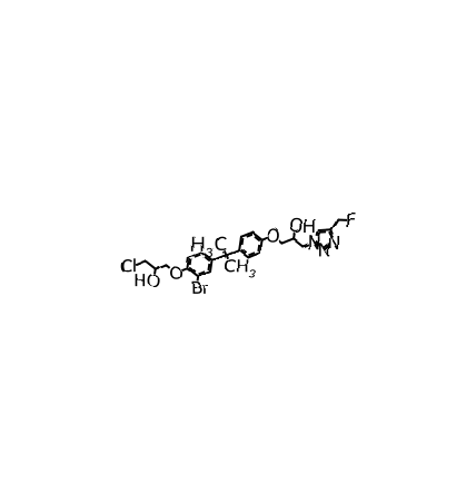 CC(C)(c1ccc(OCC(O)Cn2cc(CF)nn2)cc1)c1ccc(OCC(O)CCl)c(Br)c1